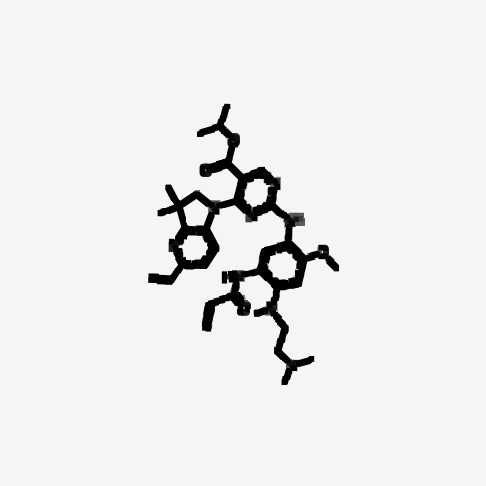 C=CC(=O)Nc1cc(Nc2ncc(C(=O)OC(C)C)c(N3CC(C)(C)c4nc(C=C)ccc43)n2)c(OC)cc1N(C)CCN(C)C